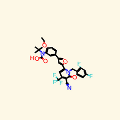 CCOc1ccc(-c2coc(-c3cc(C(F)(F)F)c(C#N)c(=O)n3Cc3ccc(F)cc3F)c2)cc1N(C(=O)O)C(C)(C)C